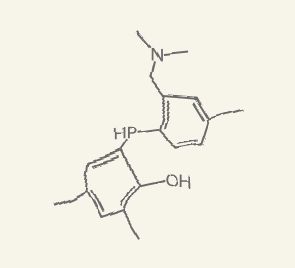 Cc1ccc(Pc2cc(C)cc(C)c2O)c(CN(C)C)c1